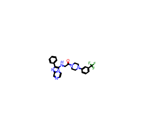 O=C(CNc1c(-c2ccccc2)nc2cnccn12)N1CCN(c2cccc(C(F)(F)F)c2)CC1